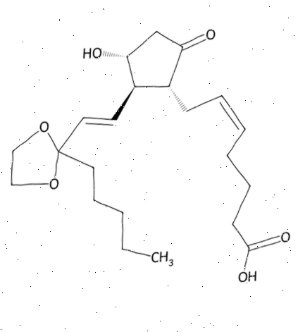 CCCCCC1(/C=C/[C@H]2[C@H](O)CC(=O)[C@@H]2C/C=C\CCCC(=O)O)OCCO1